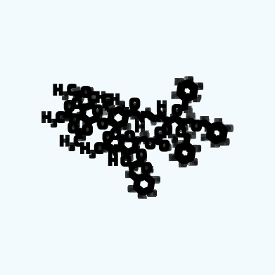 CC[C@@H]1CC(C(=O)NCCNC(=O)[C@@H](OCc2ccccc2)[C@@H](COCc2ccccc2)OCc2ccccc2)CC(O[C@@H]2O[C@@H](COC(C)=O)C3OC(=O)[C@@H](CC4CCCCC4)OC3C2NC(C)=O)C1OC1OC(C)C(OC(C)=O)C(OC(C)=O)C1OC(C)=O